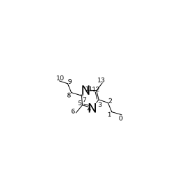 CCCc1nc(C)c(CCC)nc1C